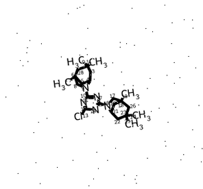 CC1(C)CC2CC(C)(CN2c2nc(Cl)nc(N3CC4(C)CC3CC(C)(C)C4)n2)C1